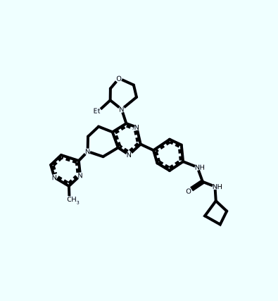 CCC1COCCN1c1nc(-c2ccc(NC(=O)NC3CCC3)cc2)nc2c1CCN(c1ccnc(C)n1)C2